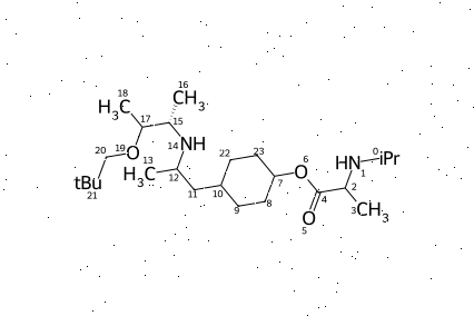 CC(C)NC(C)C(=O)OC1CCC(CC(C)N[C@@H](C)C(C)OCC(C)(C)C)CC1